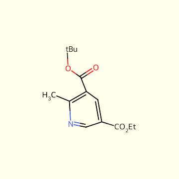 CCOC(=O)c1cnc(C)c(C(=O)OC(C)(C)C)c1